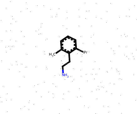 Cc1cccc(C(C)C)c1CCN